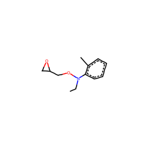 CCN(OCC1CO1)c1ccccc1C